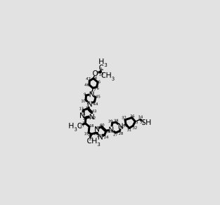 CC(C)O[C@H]1CC[C@@H](N2CCN(c3cnc(C(C)CCC(C)c4ncc(N5CCN([C@H]6CC[C@H](CS)CC6)CC5)cn4)nc3)CC2)CC1